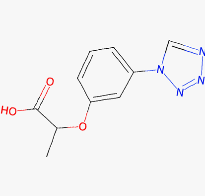 CC(Oc1cccc(-n2cnnn2)c1)C(=O)O